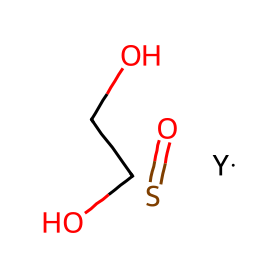 O=S.OCCO.[Y]